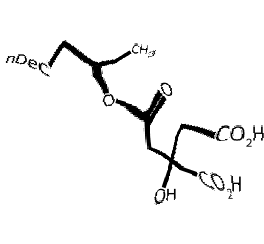 CCCCCCCCCCCC(C)OC(=O)CC(O)(CC(=O)O)C(=O)O